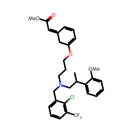 COC(=O)C=C1C=CC=C(OCCCN(Cc2cccc(C(F)(F)F)c2Cl)CC(C)c2ccccc2OC)C1